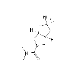 CN(C)C(=O)N1C[C@@H]2C[C@](C)(N)C[C@@H]2C1